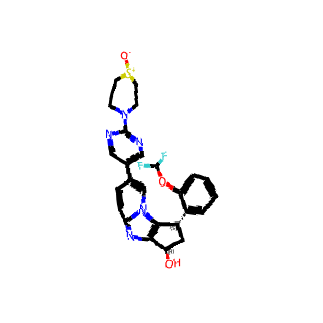 [O-][S+]1CCN(c2ncc(-c3ccc4nc5c(n4c3)[C@H](c3ccccc3OC(F)F)C[C@H]5O)cn2)CC1